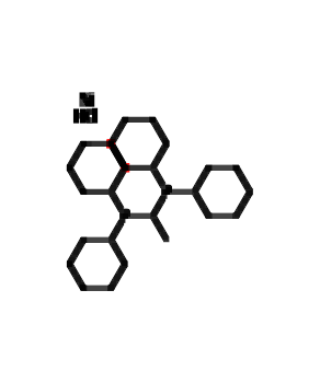 CC(P(C1CCCCC1)C1CCCCC1)P(C1CCCCC1)C1CCCCC1.Cl.[Ni]